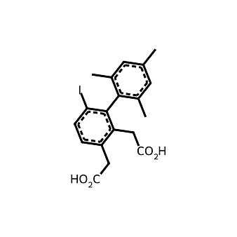 Cc1cc(C)c(-c2c(I)ccc(CC(=O)O)c2CC(=O)O)c(C)c1